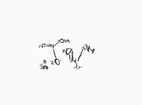 O=[N+]([O-])O.O=[N+]([O-])O.[Se]